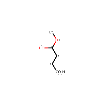 CCOC(O)CCC(=O)O